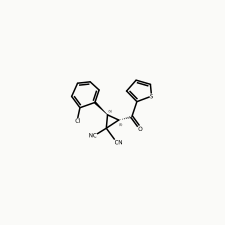 N#CC1(C#N)[C@@H](C(=O)c2cccs2)[C@@H]1c1ccccc1Cl